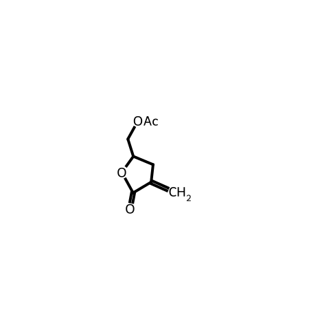 C=C1CC(COC(C)=O)OC1=O